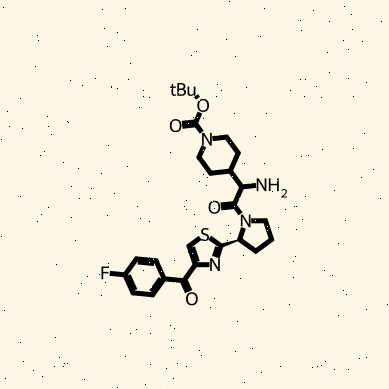 CC(C)(C)OC(=O)N1CCC(C(N)C(=O)N2CCC[C@H]2c2nc(C(=O)c3ccc(F)cc3)cs2)CC1